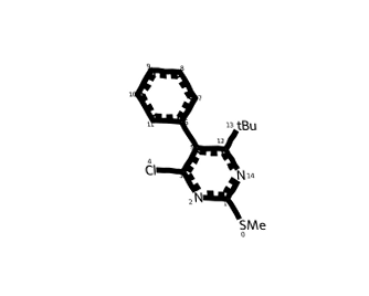 CSc1nc(Cl)c(-c2ccccc2)c(C(C)(C)C)n1